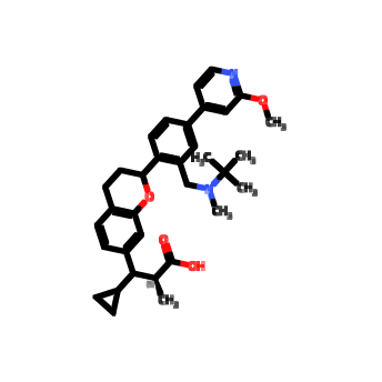 COc1cc(-c2ccc(C3CCc4ccc(C(C5CC5)[C@H](C)C(=O)O)cc4O3)c(CN(C)C(C)(C)C)c2)ccn1